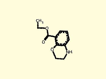 CCOC(=O)c1cccc2c1OCCN2